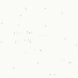 C[C@](O)(N[C@@H](C1CCCCCCC1)C(F)(F)F)N1C(=O)[C@H](CCc2cccc(Cl)c2)[C@H]1C(=O)O